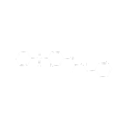 O=C(NCc1cccnc1)Nc1ccc(S(=O)(=O)c2ccccc2)nc1